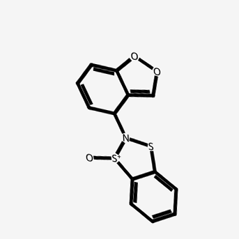 [O-][S+]1c2ccccc2SN1C1C=CC=C2OOC=C21